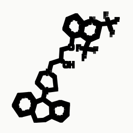 OC(COc1cccc2nc(C(F)(F)F)cc(C(F)(F)F)c12)CN1CCN(C2c3ccccc3CCc3ccccc32)CC1